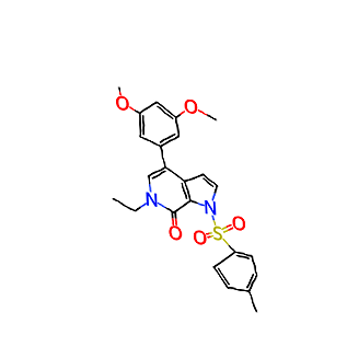 CCn1cc(-c2cc(OC)cc(OC)c2)c2ccn(S(=O)(=O)c3ccc(C)cc3)c2c1=O